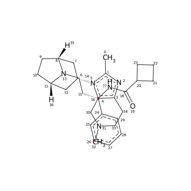 Cc1nc2c(n1[C@H]1C[C@H]3CC[C@@H](C1)N3CC[C@H](NC(=O)C1CCC1)c1ccccc1)CN(C)CC2